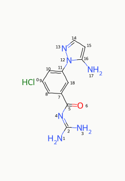 Cl.NC(N)=NC(=O)c1cccc(-n2nccc2N)c1